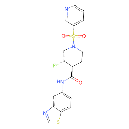 O=C(Nc1ccc2scnc2c1)[C@@H]1CCN(S(=O)(=O)c2cccnc2)C[C@H]1F